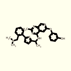 Cc1nc(NC(C)c2ccc(-c3ccccc3CN(C)C)s2)c2cc(Oc3cccc(O)c3)ncc2n1